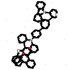 c1cc(-c2cc3ccccc3c3ccccc23)cc(N(c2ccc(-c3ccc(-c4ccccc4-n4c5ccccc5c5ccccc54)cc3)cc2)c2ccccc2-c2cccc3c2oc2ccccc23)c1